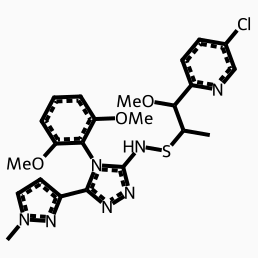 COc1cccc(OC)c1-n1c(NSC(C)C(OC)c2ccc(Cl)cn2)nnc1-c1ccn(C)n1